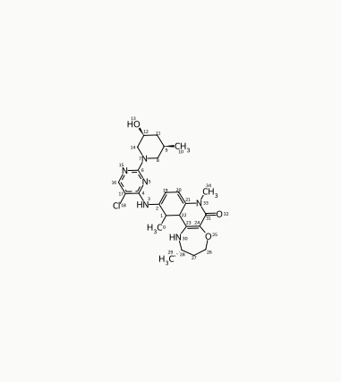 CC1C(Nc2nc(N3C[C@H](C)C[C@H](O)C3)ncc2Cl)=CC=C2C1C1=C(OCC[C@H](C)N1)C(=O)N2C